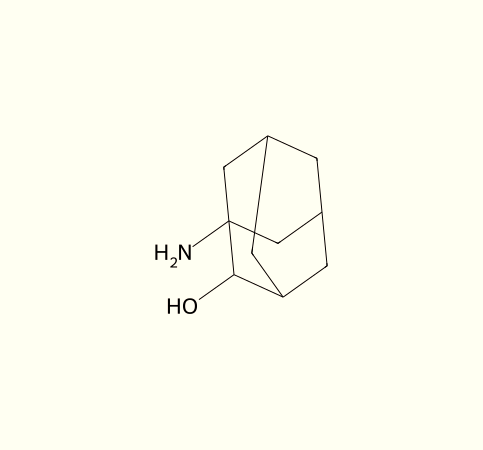 NC12CC3CC(CC(C3)C1O)C2